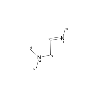 CN=CCN(C)C